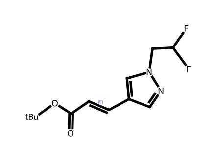 CC(C)(C)OC(=O)/C=C/c1cnn(CC(F)F)c1